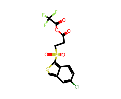 O=C(CCS(=O)(=O)c1scc2cc(Cl)ccc12)OC(=O)C(F)(F)F